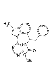 [CH2]c1cn(-c2ccncc2)c2c(C(Cc3ccccc3)NC(=O)OC(C)(C)C)cccc12